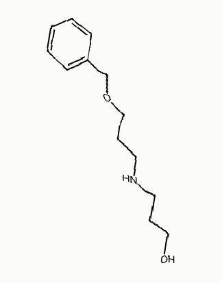 OCCCNCCCOCc1ccccc1